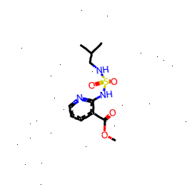 COC(=O)c1cccnc1NS(=O)(=O)NCC(C)C